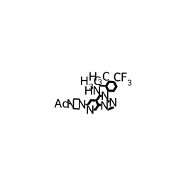 CC(=O)N1CCN(c2cc3c(NC(C)c4cccc(C(F)(F)F)c4C)nc4nccn4c3cn2)CC1